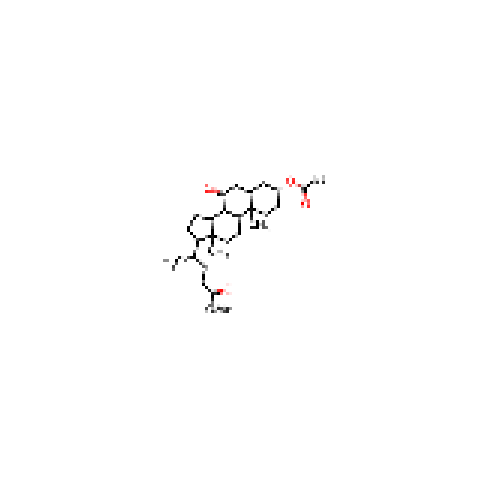 CCC(=O)O[C@@H]1CC[C@@]2(C)C(CC(=O)C3C2CC[C@@]2(C)C3CCC2[C@H](C)CCC(=O)OC)C1